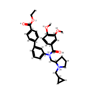 CCOC(=O)c1ccc(-c2cccc(N(CC3CCCN3CC3CC3)C(=O)c3ccc(OC)c(OC)c3)c2)cc1